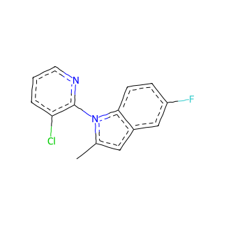 Cc1cc2cc(F)ccc2n1-c1ncccc1Cl